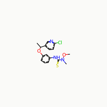 CON(C)C(=S)Nc1cccc(OC(C)c2ccc(Cl)nc2)c1